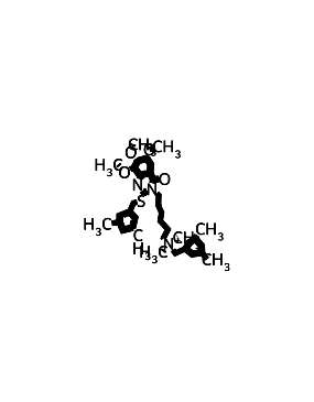 COc1cc2c(=O)n(CCCCCC[N+](C)(C)Cc3cc(C)cc(C)c3)c(SCc3cc(C)cc(C)c3)nc2c(OC)c1OC